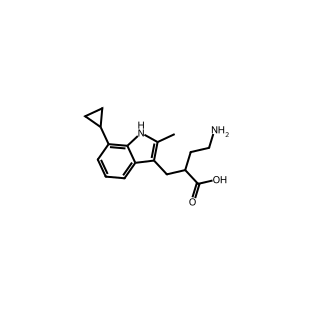 Cc1[nH]c2c(C3CC3)cccc2c1CC(CCN)C(=O)O